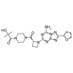 CC(C)(O)C(=O)N1CCN(C(=O)[C@@H]2CCN2c2nc(N)n3nc(-c4ccco4)nc3n2)CC1